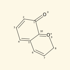 O=C1C=CC=C2C=CC[O+]=C12